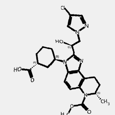 COC(=O)N1c2ccc3c(nc([C@@H](O)Cn4cc(Cl)cn4)n3[C@@H]3CCC[C@@H](C(=O)O)C3)c2CC[C@@H]1C